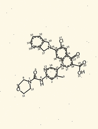 Cc1cc(NC(=O)N2CCOCC2)ncc1-n1cc(C(=O)O)c(=O)c2cc(Cl)c(N3Cc4cccnc4C3)cc21